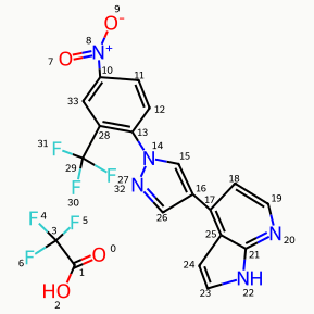 O=C(O)C(F)(F)F.O=[N+]([O-])c1ccc(-n2cc(-c3ccnc4[nH]ccc34)cn2)c(C(F)(F)F)c1